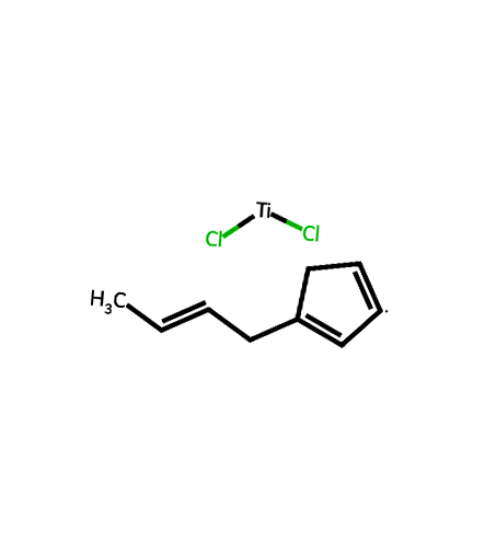 CC=CCC1=C[C]=CC1.[Cl][Ti][Cl]